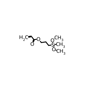 C=CC(=O)OCCC[Si](C)(OC)OC